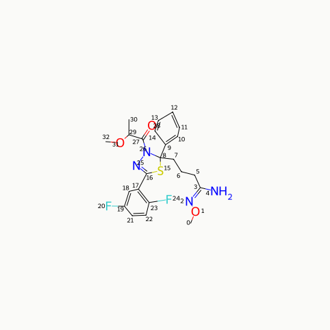 CON=C(N)CCCC1(c2ccccc2)SC(c2cc(F)ccc2F)=NN1C(=O)C(C)OC